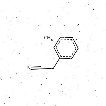 C.N#CCc1ccccc1